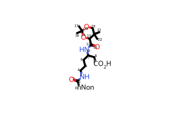 CCCCCCCCCC(=O)NCCCC(CC(=O)O)NC(=O)C1OC(C)(C)OCC1(C)C